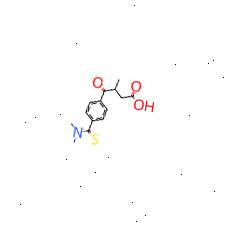 CC(CC(=O)O)C(=O)c1ccc(C(=S)N(C)C)cc1